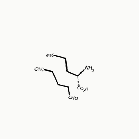 CSCC[C@H](N)C(=O)O.O=CCCCC=O